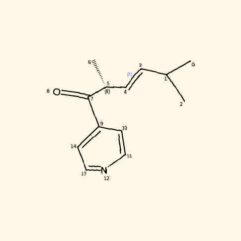 CC(C)/C=C/[C@@H](C)C(=O)c1ccncc1